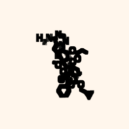 CCC(=O)O[C@@H](c1ccc2c(N)ncnn12)[C@H](OC(=O)CC)C(C#N)(COP(=O)(N[C@@H](C)C(=O)OCC1CC1)Oc1ccccc1)OC